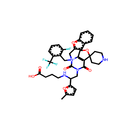 Cc1ccc(C(CN2C(=O)C3=C(COC34CCNCC4)[N+](Cc3cc4ccccc4o3)(Cc3c(F)cccc3C(F)(F)F)C2=O)NCCCC(=O)O)o1